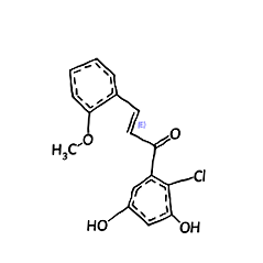 COc1ccccc1/C=C/C(=O)c1cc(O)cc(O)c1Cl